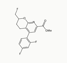 COC(=O)c1cc(-c2ccc(F)cc2F)c2c(n1)OC(CF)CC2